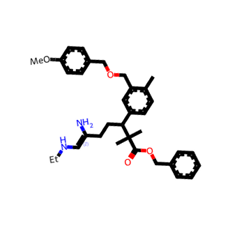 CCN/C=C(\N)CCC(c1ccc(C)c(COCc2ccc(OC)cc2)c1)C(C)(C)C(=O)OCc1ccccc1